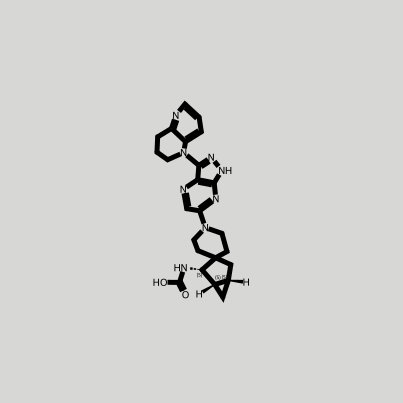 O=C(O)N[C@H]1[C@H]2C[C@H]2CC12CCN(c1cnc3c(N4CCCc5ncccc54)n[nH]c3n1)CC2